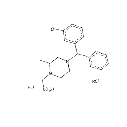 CC1CN(C(c2ccccc2)c2cccc(Cl)c2)CCN1CC(=O)O.Cl.Cl